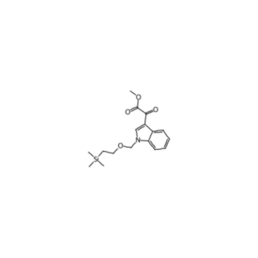 COC(=O)C(=O)c1cn(COCC[Si](C)(C)C)c2ccccc12